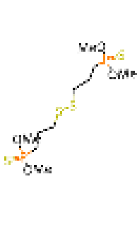 COP(=S)(CCCSSCCCP(=S)(OC)OC)OC